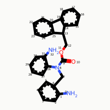 Nc1ccccc1CN(C(=O)OCC1c2ccccc2-c2ccccc21)c1ccccc1N